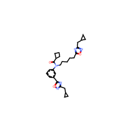 O=C(C1CCC1)N(CCCCCc1nc(CC2CC2)no1)c1cccc(-c2nc(CC3CC3)no2)c1